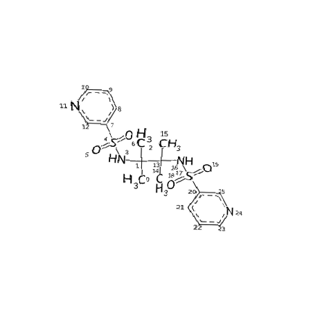 CC(C)(NS(=O)(=O)c1cccnc1)C(C)(C)NS(=O)(=O)c1cccnc1